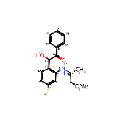 COC[C@@H](C)Nc1cc(F)ccc1C(O)C(=O)c1ccccc1